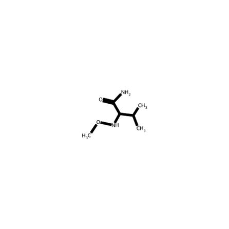 CONC(C(N)=O)C(C)C